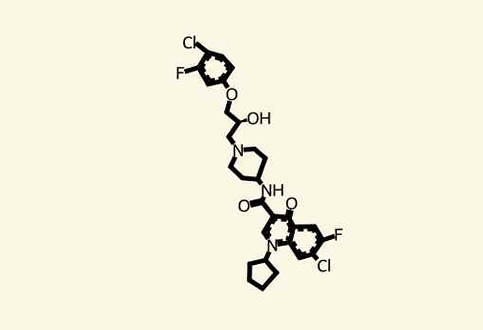 O=C(NC1CCN(C[C@H](O)COc2ccc(Cl)c(F)c2)CC1)c1cn(C2CCCC2)c2cc(Cl)c(F)cc2c1=O